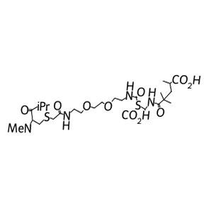 CNC(CSCC(=O)NCCOCCOCCNC(=O)SC(NC(=O)C(C)(C)CC(C)C(=O)O)C(=O)O)C(=O)C(C)C